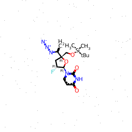 C=C(N=[N+]=[N-])[C@@]1(CO[Si](C)(C)C(C)(C)C)C[C@@H](F)[C@H](n2ccc(=O)[nH]c2=O)O1